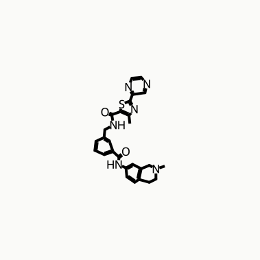 Cc1nc(-c2cnccn2)sc1C(=O)NCc1cccc(C(=O)Nc2ccc3c(c2)CN(C)CC3)c1